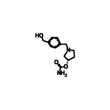 NC(=O)O[C@H]1CCN(Cc2ccc(CO)cc2)C1